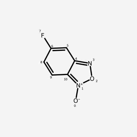 [O-][n+]1onc2cc(F)ccc21